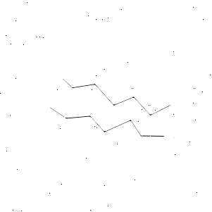 CC(C)(C)CCCCCC(=O)[O-].CC(C)(C)CCCCCC(=O)[O-].[Ti+2]